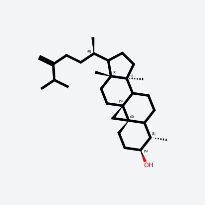 C=C(CC[C@@H](C)C1CC[C@@]2(C)C3CCC4[C@H](C)[C@@H](O)CC[C@]45C[C@@]35CC[C@]12C)C(C)C